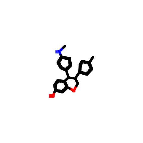 CNc1ccc(C2c3ccc(O)cc3OCC2c2ccc(C)cc2)cc1